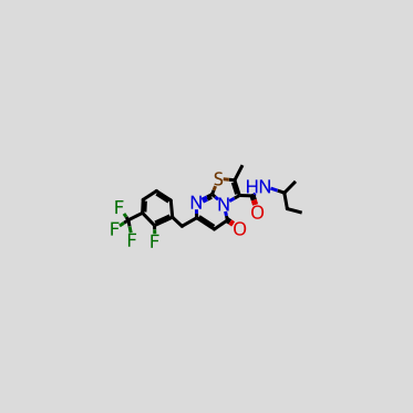 CCC(C)NC(=O)c1c(C)sc2nc(Cc3cccc(C(F)(F)F)c3F)cc(=O)n12